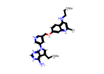 CCc1cc(NCCOC)c2ccc(OCc3cncc(-n4cc(COC)c5c(N)ncnc54)c3)cc2n1